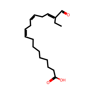 CC/C(C=O)=C\C/C=C\C/C=C\CCCCCCCC(=O)O